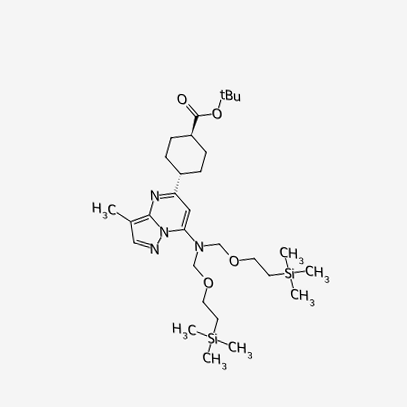 Cc1cnn2c(N(COCC[Si](C)(C)C)COCC[Si](C)(C)C)cc([C@H]3CC[C@H](C(=O)OC(C)(C)C)CC3)nc12